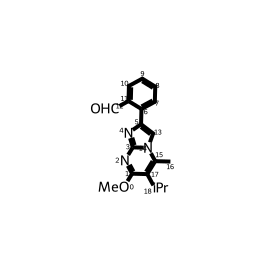 COc1nc2nc(-c3ccccc3C=O)cn2c(C)c1C(C)C